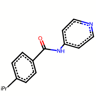 CC(C)c1ccc(C(=O)Nc2ccncc2)cc1